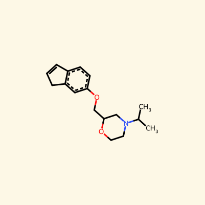 CC(C)N1CCOC(COc2ccc3c(c2)CC=C3)C1